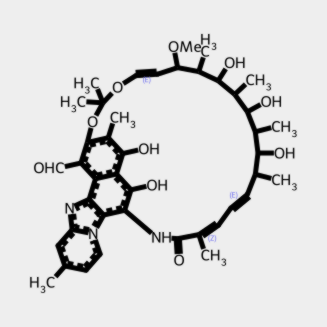 COC1/C=C/OC(C)(C)Oc2c(C)c(O)c3c(O)c(c4c(nc5cc(C)ccn54)c3c2C=O)NC(=O)/C(C)=C\C=C\C(C)C(O)C(C)C(O)C(C)C(O)C1C